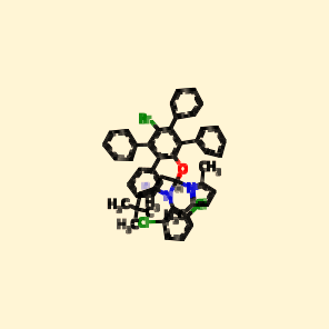 Cc1ccc(C)n1[C@@]1(Oc2c(-c3ccccc3)c(-c3ccccc3)c(Br)c(-c3ccccc3)c2-c2ccccc2)C/C(=C/C(C)(C)C)N1c1c(Cl)cccc1Cl